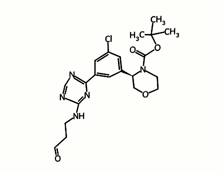 CC(C)(C)OC(=O)N1CCOC[C@H]1c1cc(Cl)cc(-c2ncnc(NCCC=O)n2)c1